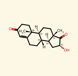 C[C@]12CCC(=O)C=C1CC[C@@H]1[C@@H]2CC[C@]2(C)C(=O)[C@@H](O)C[C@@H]12